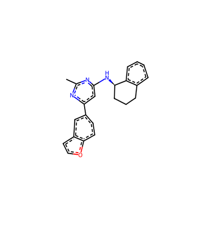 Cc1nc(N[C@@H]2CCCc3ccccc32)cc(-c2ccc3occc3c2)n1